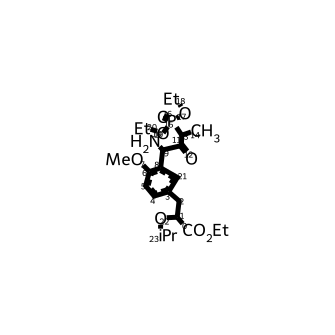 CCOC(=O)C(Cc1ccc(OC)c(C(N)C(=O)C(C)P(=O)(OCC)OCC)c1)OC(C)C